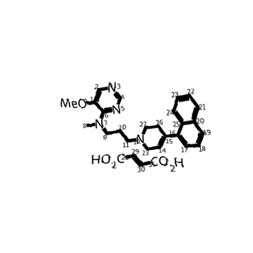 COc1cncnc1N(C)CCCN1CC=C(c2cccc3ccccc23)CC1.O=C(O)C=CC(=O)O